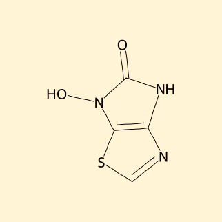 O=c1[nH]c2ncsc2n1O